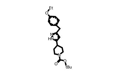 CCOc1ccc(Cc2cc(C3CCN(C(=O)OC(C)(C)C)CC3)[nH]n2)cc1